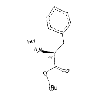 CC(C)(C)OC(=O)[C@@H](N)Cc1ccccc1.Cl